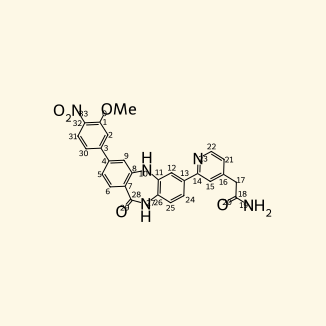 COc1cc(-c2ccc3c(c2)Nc2cc(-c4cc(CC(N)=O)ccn4)ccc2NC3=O)ccc1[N+](=O)[O-]